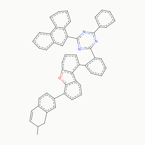 CC1C=Cc2ccc(-c3cccc4c3oc3cccc(-c5ccccc5-c5nc(-c6ccccc6)nc(-c6cc7ccccc7c7ccccc67)n5)c34)cc2C1